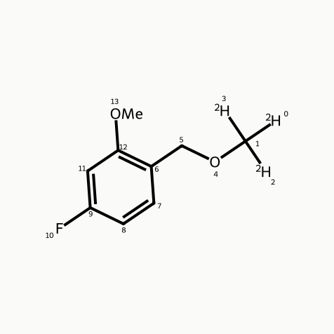 [2H]C([2H])([2H])OCc1ccc(F)cc1OC